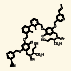 CCCN(Cc1cc(Cl)c(OCc2cccc(-c3cccc(COc4cc(OCc5cncc(C6=NC6)c5)c(CN(CCC)[C@@H](CCO)C(=O)O)cc4Cl)c3C)c2C)cc1OCc1cncc(/C=N/C)c1)[C@@H](CCO)C(=O)O